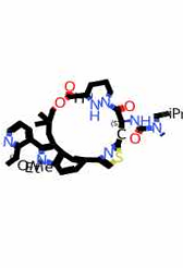 CCn1c(-c2cccnc2[C@H](C)OC)c2c3cc(ccc31)-c1csc(n1)C[C@H](NC(=O)N(C)CC(C)C)C(=O)N1CCC[C@H](N1)C(=O)OCC(C)(C)C2